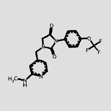 CNc1cc(CN2CC(=O)N(c3ccc(OC(F)(F)F)cc3)C2=O)ccn1